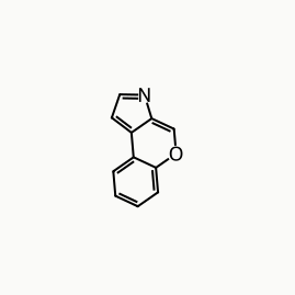 c1ccc2c3ccnc-3coc2c1